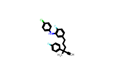 C#CC(C)(CCCc1ccc(F)c(Nc2ccc(Cl)cc2)c1)c1ccc(F)cc1